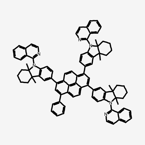 CC12CCCCC1(C)N(c1nccc3ccccc13)c1ccc(-c3cc(-c4ccccc4)c4ccc5c(-c6ccc7c(c6)C6(C)CCCCC6(C)N7c6nccc7ccccc67)cc(-c6ccc7c(c6)C6(C)CCCCC6(C)N7c6nccc7ccccc67)c6ccc3c4c56)cc12